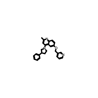 Cc1cc(N2CCC(c3ccccc3)C2)c2cc(OCc3cccnc3)ccc2n1